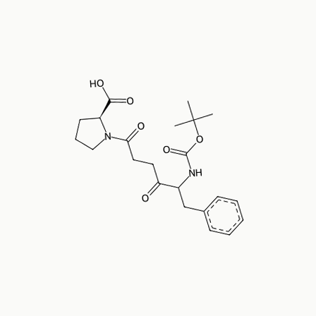 CC(C)(C)OC(=O)NC(Cc1ccccc1)C(=O)CCC(=O)N1CCC[C@H]1C(=O)O